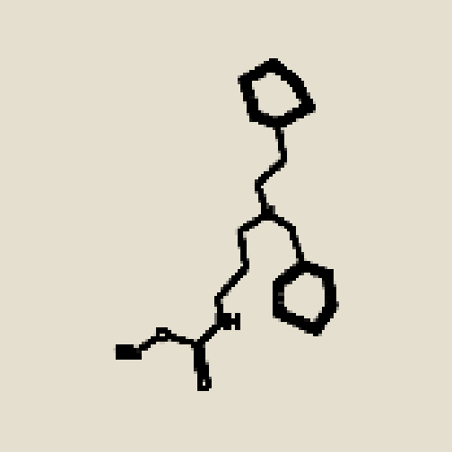 CC(C)(C)OC(=O)NCCCN(CCc1ccccc1)Cc1ccccc1